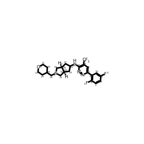 Fc1ccc(F)c(-c2cc(C(F)(F)F)c(NC3C[C@@H]4CN(CC5CCOCC5)C[C@@H]4C3)nn2)c1